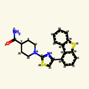 NC(=O)C1CCN(c2nc(-c3cccc4sc5ccccc5c34)cs2)CC1